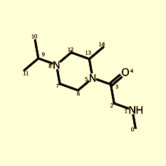 CNCC(=O)N1CCN(C(C)C)CC1C